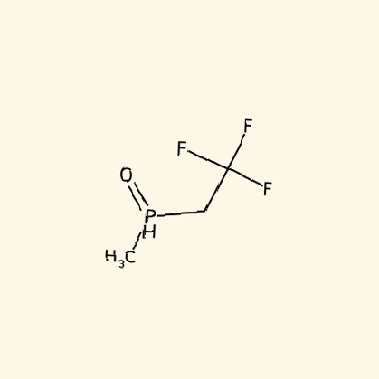 C[PH](=O)CC(F)(F)F